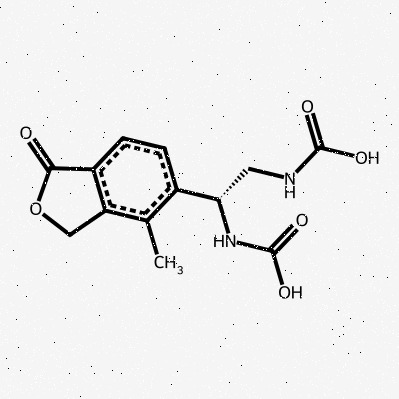 Cc1c([C@H](CNC(=O)O)NC(=O)O)ccc2c1COC2=O